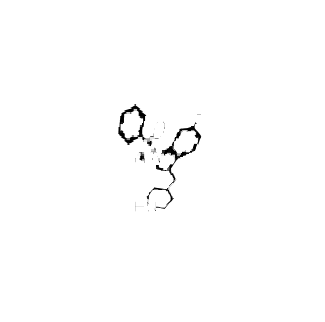 O=S(=O)(c1ccccc1)n1cc(CC2CCNCC2)c2ccc(F)cc21